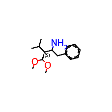 COC(OC)[C@@H](C(C)C)C(N)Cc1ccccc1